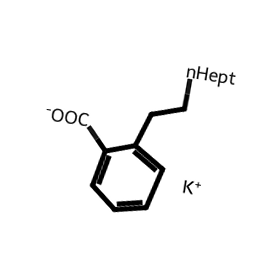 CCCCCCCCCc1ccccc1C(=O)[O-].[K+]